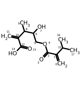 C=C(C(=O)OCC(O)C(C)C(=C)C(=O)O)C(C)C